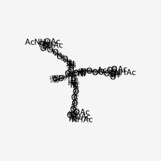 CC(=O)N[C@H]1[C@H]2OC[C@@](COCCOCCOCCOCCn3cc(COCC(COCc4cn(CCOCCOCCOCCOC[C@]56CO[C@@H](O5)[C@H](NC(C)=O)[C@@H](OC(C)=O)[C@H]6OC(C)=O)nn4)(COCc4cn(CCOCCOCCOCCOC[C@@]56CO[C@@H](O5)[C@H](NC(C)=O)[C@H](OC(C)=O)[C@H]6OC(C)=O)nn4)NC(=O)CCCOCc4ccccc4)nn3)(O2)[C@H](OC(C)=O)[C@@H]1OC(C)=O